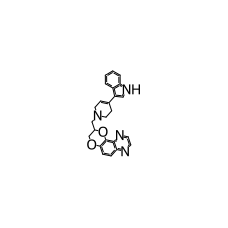 C1=C(c2c[nH]c3ccccc23)CCN(CC2COc3ccc4nccnc4c3O2)C1